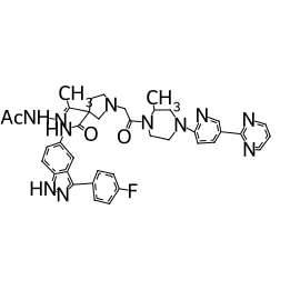 CC(=O)NN=C(C)C1(C(=O)Nc2ccc3[nH]nc(-c4ccc(F)cc4)c3c2)CCN(CC(=O)N2CCN(c3ccc(-c4ncccn4)cn3)CC2C)C1